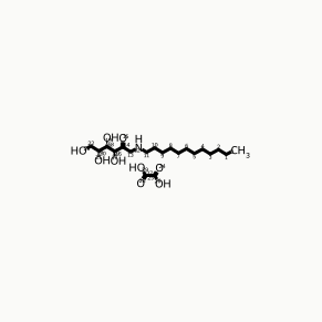 CCCCCCCCCCCCNCC(=O)[C@@H](O)[C@@H](O)[C@H](O)CO.O=C(O)C(=O)O